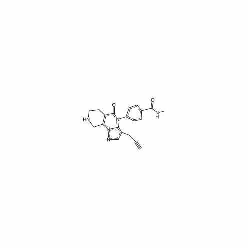 C#CCc1cnn2c3c(c(=O)n(-c4ccc(C(=O)NC)cc4)c12)CCNC3